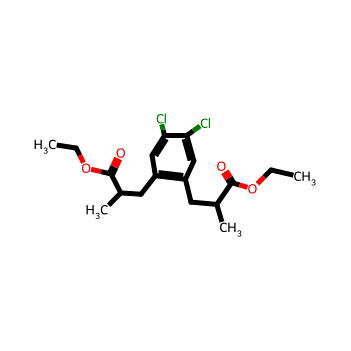 CCOC(=O)C(C)Cc1cc(Cl)c(Cl)cc1CC(C)C(=O)OCC